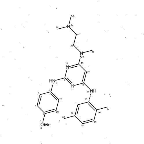 COc1ccc(Nc2nc(Nc3cc(C)ccc3C)cc(N(C)CCN(C)C)n2)cc1